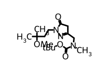 COC(C)(C)CCN1N=C(CN(C)C(=O)OC(C)(C)C)CC1=O